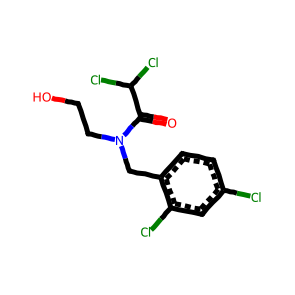 O=C(C(Cl)Cl)N(CCO)Cc1ccc(Cl)cc1Cl